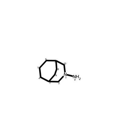 NN1CC2CCCC(CC2)C1